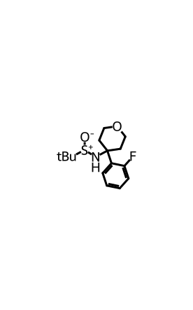 CC(C)(C)[S+]([O-])NC1(c2ccccc2F)CCOCC1